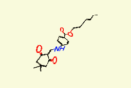 CCCCCCOC(=O)c1ccc(NC=C2C(=O)CC(C)(C)CC2=O)cc1